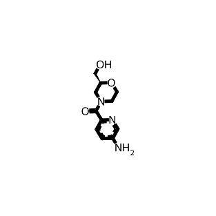 Nc1ccc(C(=O)N2CCO[C@H](CO)C2)nc1